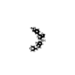 Cn1cc2cc(-c3nnc(N[C@@H]4CC5CN(CC6CCOCC6)C[C@H]5C4)c4ccsc34)ccc2n1